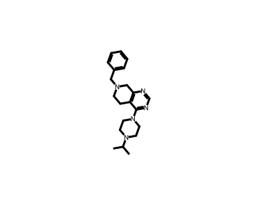 CC(C)N1CCN(c2ncnc3c2CCN(Cc2ccccc2)C3)CC1